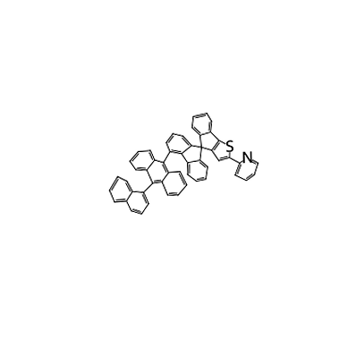 c1ccc(-c2cc3c(s2)-c2ccccc2C32c3ccccc3-c3c(-c4c5ccccc5c(-c5cccc6ccccc56)c5ccccc45)cccc32)nc1